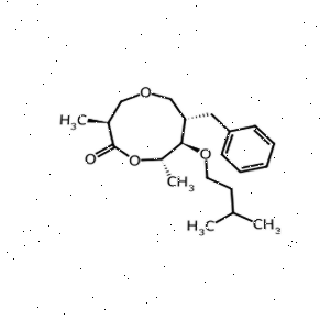 CC(C)CCO[C@@H]1[C@@H](Cc2ccccc2)COC[C@H](C)C(=O)O[C@H]1C